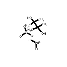 CC(C)(O)C(C)(C)O.[Cl][Pd+3][Cl].[O-]B([O-])[O-]